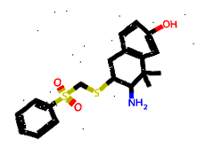 CC1(C)c2cc(O)ccc2CC(SCS(=O)(=O)c2ccccc2)C1N